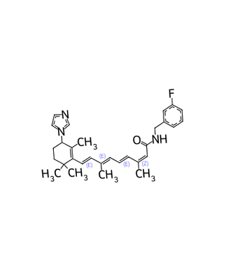 CC1=C(/C=C/C(C)=C/C=C/C(C)=C\C(=O)NCc2cccc(F)c2)C(C)(C)CCC1n1ccnc1